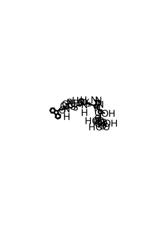 CCCCCCNC(=O)C(CSSCCC(=O)NCC#Cc1cn(C2CC(O)C(COP(=O)(O)OP(=O)(O)OP(=O)(O)O)O2)c2ncnc(N)c12)NC(=O)OCC1c2ccccc2-c2ccccc21